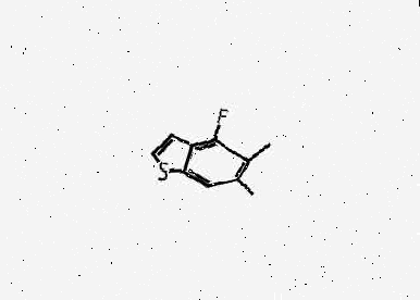 Cc1cc2sccc2c(F)c1C